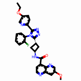 CCOc1ccc(-c2nnc([C@H]3C[C@H](NC(=O)c4ccnc5cc(OC)cnc45)C3)n2-c2ccccc2F)nc1